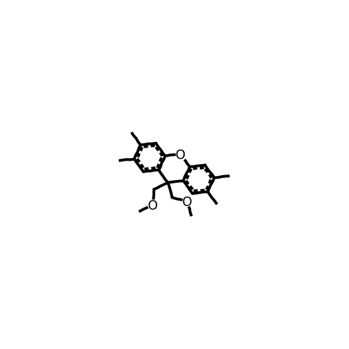 COCC1(COC)c2cc(C)c(C)cc2Oc2cc(C)c(C)cc21